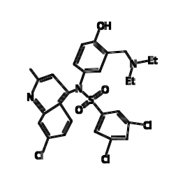 CCN(CC)Cc1cc(N(c2cc(C)nc3cc(Cl)ccc23)S(=O)(=O)c2cc(Cl)cc(Cl)c2)ccc1O